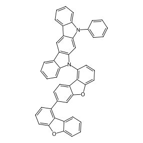 c1ccc(-n2c3ccccc3c3cc4c5ccccc5n(-c5cccc6oc7cc(-c8cccc9oc%10ccccc%10c89)ccc7c56)c4cc32)cc1